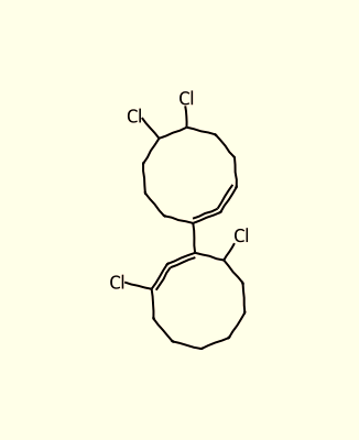 ClC1=C=C(C2=C=CCCC(Cl)C(Cl)CCC2)C(Cl)CCCCCC1